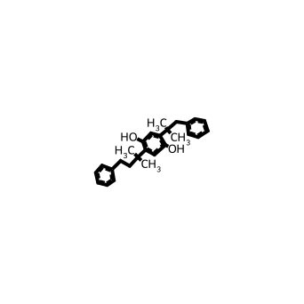 CC(C)(CCc1ccccc1)c1cc(O)c(C(C)(C)Cc2ccccc2)cc1O